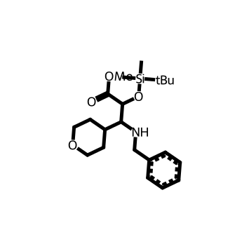 COC(=O)C(O[Si](C)(C)C(C)(C)C)C(NCc1ccccc1)C1CCOCC1